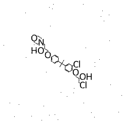 CC(C)(c1ccc(OCC(O)CN2CCOCC2)cc1)c1ccc(OCC(O)CCl)c(Cl)c1